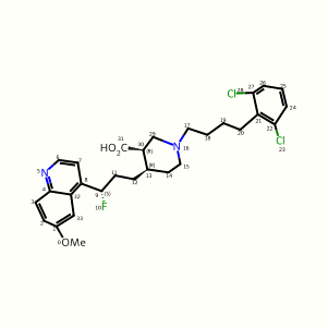 COc1ccc2nccc([C@@H](F)CC[C@@H]3CCN(CCCCc4c(Cl)cccc4Cl)C[C@@H]3C(=O)O)c2c1